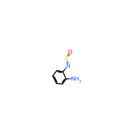 Nc1ccccc1N=S=O